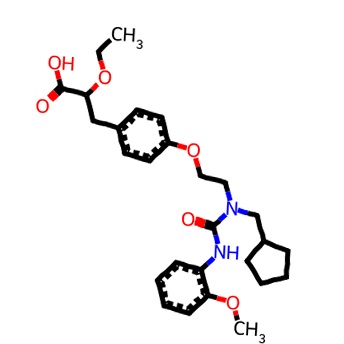 CCOC(Cc1ccc(OCCN(CC2CCCC2)C(=O)Nc2ccccc2OC)cc1)C(=O)O